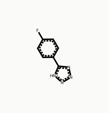 Fc1ccc(-c2nnn[nH]2)cc1